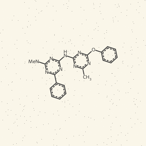 CNc1nc(Nc2nc(C)nc(Oc3ccccc3)n2)nc(-c2ccccc2)n1